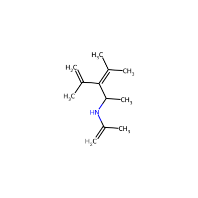 C=C(C)NC(C)C(C(=C)C)=C(C)C